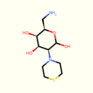 NC[C@H]1OC(O)[C@@H](N2CCSCC2)[C@@H](O)[C@H]1O